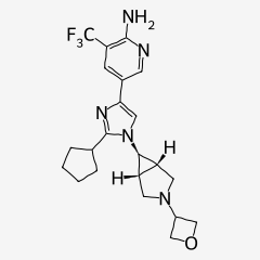 Nc1ncc(-c2cn([C@H]3[C@@H]4CN(C5COC5)C[C@@H]43)c(C3CCCC3)n2)cc1C(F)(F)F